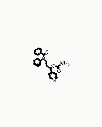 NC(=O)OC(CCN(C(=O)c1ccccc1)c1ccccc1)c1ccncc1